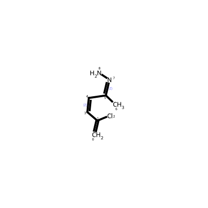 C=C(Cl)/C=C\C(C)=N/N